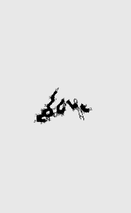 C=C(C)NC(=O)CCN1CCC(Oc2cc(CCCC)cc3cccnc23)CC1